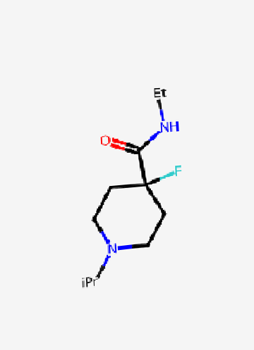 CCNC(=O)C1(F)CCN(C(C)C)CC1